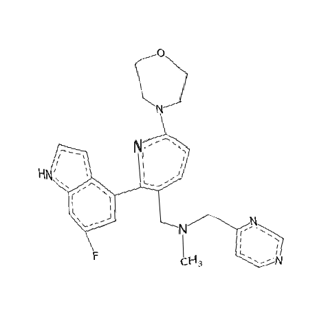 CN(Cc1ccncn1)Cc1ccc(N2CCOCC2)nc1-c1cc(F)cc2[nH]ccc12